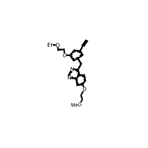 C#Cc1cc(Cc2ncnc3cc(OCCOC)ccc23)cc(OCCOCC)c1